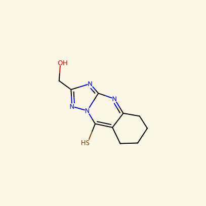 OCc1nc2nc3c(c(S)n2n1)CCCC3